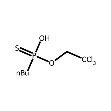 CCCCP(O)(=S)OCC(Cl)(Cl)Cl